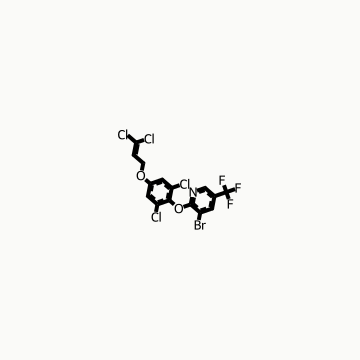 FC(F)(F)c1cnc(Oc2c(Cl)cc(OCC=C(Cl)Cl)cc2Cl)c(Br)c1